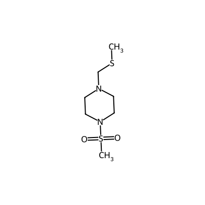 CSCN1CCN(S(C)(=O)=O)CC1